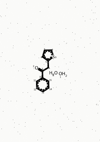 O.O.O=C(Cc1cccs1)c1ccccc1